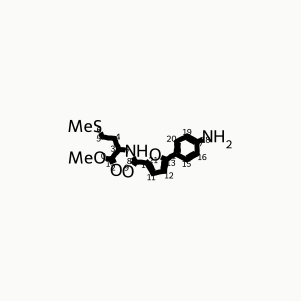 COC(=O)C(CCSC)NC(=O)c1ccc(-c2ccc(N)cc2)o1